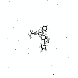 CC(C)C(=O)NCC(C)(C)C(c1ccccc1)c1ccc2c(cnn2-c2ccc(F)cc2)c1